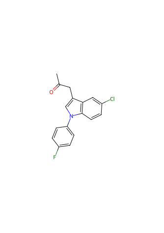 CC(=O)Cc1cn(-c2ccc(F)cc2)c2ccc(Cl)cc12